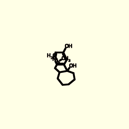 CN(C)CC1CCCCCC1(O)c1cncc(O)c1